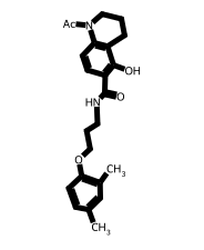 CC(=O)N1CCCc2c1ccc(C(=O)NCCCOc1ccc(C)cc1C)c2O